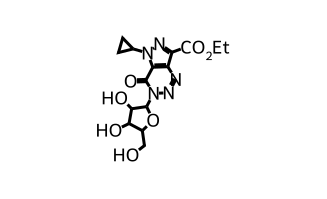 CCOC(=O)c1nn(C2CC2)c2c(=O)n(C3OC(CO)C(O)C3O)nnc12